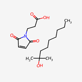 CCCCCCCC(C)(C)O.O=C(O)CCN1C(=O)C=CC1=O